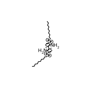 CCCCCCCCCCS(=O)(=O)c1csc(-c2scc(S(=O)(=O)CCCCCCCCCC)c2N)c1N